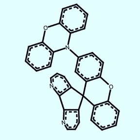 c1ccc2c(c1)Oc1ccccc1N2c1ccc2c(c1)C1(c3ccccc3O2)c2cccnc2-c2ncccc21